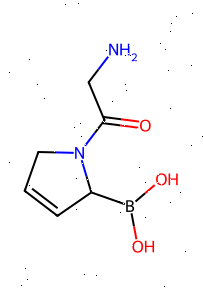 NCC(=O)N1CC=CC1B(O)O